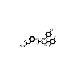 COC(=O)Cc1cccc(NC(=O)OC[C@@H](C)[C@@H](c2cc(F)ccc2F)[S+]([O-])c2ccc(Cl)cc2)c1